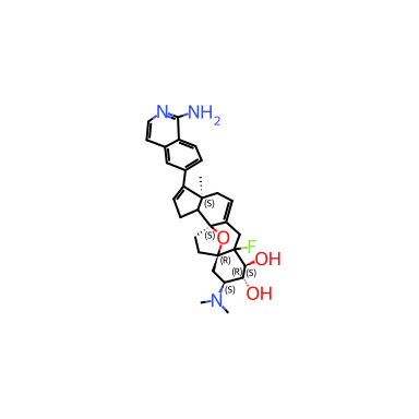 CN(C)[C@H]1C[C@@]23CC[C@@]4(O2)C(=CC[C@]2(C)C(c5ccc6c(N)nccc6c5)=CCC24)CC3(F)[C@@H](O)[C@@H]1O